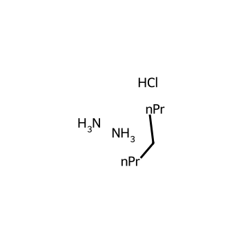 CCCCCCC.Cl.N.N